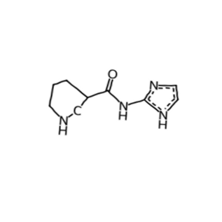 O=C(Nc1ncc[nH]1)C1CCCNC1